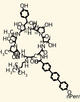 CCCCCOc1ccc(-c2ccc(-c3ccc(C(=O)N[C@H]4C[C@@H](O)C(NCC[N+](C)(C)C)NC(=O)[C@@H]5[C@@H](O)[C@@H](C)CN5C(=O)[C@H]([C@@H](C)O)NC(=O)[C@H]([C@H](O)[C@@H](O)c5ccc(O)cc5)NC(=O)[C@@H]5C[C@@H](O)CN5C(=O)[C@H]([C@H](O)I)NC4=O)cc3)cc2)cc1